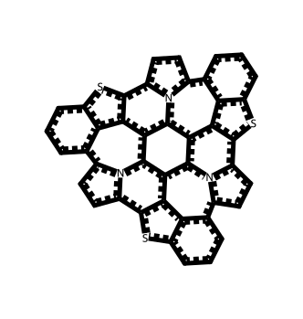 c1cc2sc3c4c2c(c1)c1ccc2c5sc6cccc7c6c5c5c(c4c4c6c8c(sc9cccc(c98)c8ccc3n84)c3ccc7n3c56)n12